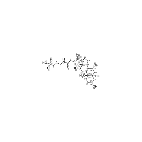 C[C@H](CCC(=O)NCCCS(=O)(=O)O)[C@H]1CCC2C3C(C[C@H](O)[C@@]21C)[C@@]1(C)CC[C@@H](O)C[C@H]1C[C@H]3O